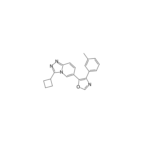 Cc1cccc(-c2ncoc2-c2ccc3nnc(C4CCC4)n3c2)c1